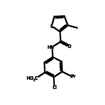 Cc1ccsc1C(=O)Nc1cc(C(=O)O)c(Cl)c(C(C)C)c1